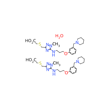 Cn1nc(CSCC(=O)O)nc1NCCCOc1cccc(CN2CCCCC2)c1.Cn1nc(CSCC(=O)O)nc1NCCCOc1cccc(CN2CCCCC2)c1.O